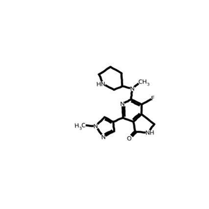 CN(c1nc(-c2cnn(C)c2)c2c(c1F)CNC2=O)C1CCCNC1